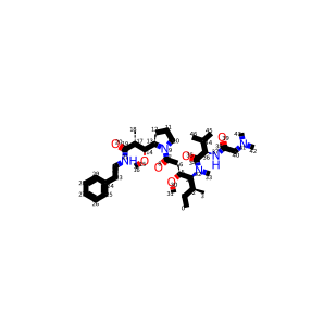 CC[C@H](C)[C@@H]([C@@H](CC(=O)N1CCC[C@H]1[C@H](OC)[C@@H](C)C(=O)NCCc1ccccc1)OC)N(C)C(=O)[C@@H](NC(=O)CN(C)C)C(C)C